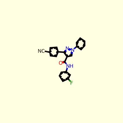 N#Cc1ccc(-c2nn(-c3ccccc3)cc2C(=O)Nc2cccc(F)c2)cc1